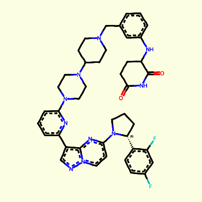 O=C1CCC(Nc2cccc(CN3CCC(N4CCN(c5cccc(-c6cnn7ccc(N8CCC[C@@H]8c8ccc(F)cc8F)nc67)n5)CC4)CC3)c2)C(=O)N1